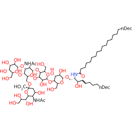 CCCCCCCCCCCCC/C=C/[C@@H](O)[C@H](CO[C@@H]1OC(CO)[C@@H](O[C@@H]2OC(CO)[C@H](O[C@@H]3OC(CO[C@]4(C(=O)O)CC(O)[C@@H](NC(C)=O)C([C@H](O)[C@H](O)CO)O4)[C@H](O)[C@H](O[C@@H]4OC(CO)[C@H](O)[C@H](O)C4O)C3NC(C)=O)[C@H](O)C2O)[C@H](O)C1O)NC(=O)CCCCCCCCCCCCCCCCCCCCCCCCC